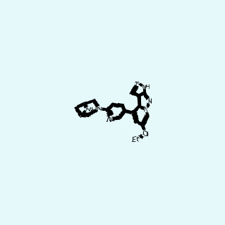 CCOc1cc(-c2ccc(N3CC4CC(C3)N4)nc2)c2c3cn[nH]c3nn2c1